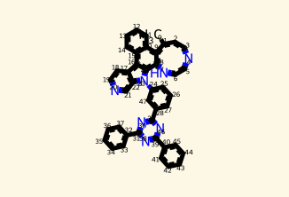 Cc1ccncc[nH]c2c1c1ccccc1c1c3ccncc3n(-c3cccc(-c4nc(-c5ccccc5)nc(-c5ccccc5)n4)c3)c21